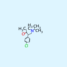 CCC(=O)C(CN(C)C(C)C)c1ccc(Cl)cc1